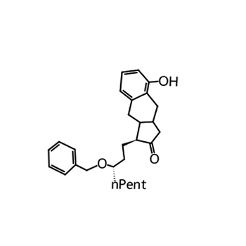 CCCCC[C@@H](CC[C@@H]1C(=O)CC2Cc3c(O)cccc3CC21)OCc1ccccc1